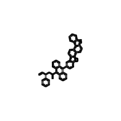 C=CC(CC(=C)c1c2ccccc2c(-c2ccc3oc4c(ccc5c4ccc4sc6ccccc6c45)c3c2)c2ccccc12)c1ccccc1